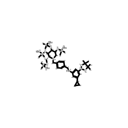 CC1(C)OB(c2cc(NCc3ccc(CN4CC(O[Si](C)(C)C(C)(C)C)C(O[Si](C)(C)C(C)(C)C)C(O[Si](C)(C)C(C)(C)C)[C@H]4CO[Si](C)(C)C(C)(C)C)cc3)cc(C3CC3)c2)OC1(C)C